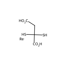 O=C(O)CC(S)(S)C(=O)O.[Re]